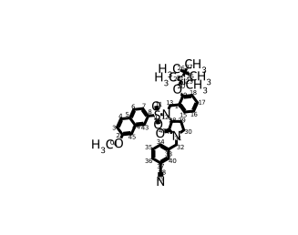 COc1ccc2ccc(S(=O)(=O)N(Cc3ccccc3O[Si](C)(C)C(C)(C)C)[C@H]3CCN(Cc4cccc(C#N)c4)C3=O)cc2c1